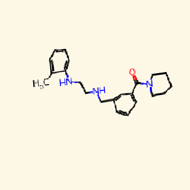 Cc1ccccc1NCCNCc1cccc(C(=O)N2CCCCC2)c1